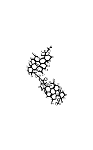 CCOC(=O)C1(C)CCCC2(C)C3CCC(C(C)C)=C4C5CC6C(C)(C(=O)OCOC(=O)C7(C)CCCC8(C)C9CCC(C(C)C)=C%10C%11CC%12C(C)(OC=O)CCCC%12(C)C%12CCC(C(C)C)=C(C(CC78)C%109)C%11%12)CCCC6(C)C6CCC(C(C)C)=C(C(CC12)C43)C56